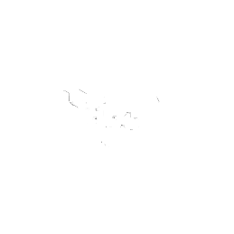 C[C@]12C=CC(=O)C=C1CC[C@@H]1[C@@H]2[C@@H](O)C[C@@]2(C)[C@H]1CC[C@]2(OC(=O)CCC(=O)[O-])C(=O)CO.[Na+]